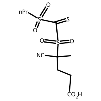 CCCS(=O)(=O)C(=S)S(=O)(=O)C(C)(C#N)CCC(=O)O